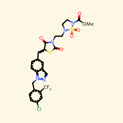 COC(=O)N1CCN(CCN2C(=O)SC(=Cc3ccc4c(cnn4Cc4ccc(Cl)cc4C(F)(F)F)c3)C2=O)S1(=O)=O